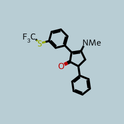 CNC1=C(c2cccc(SC(F)(F)F)c2)C(=O)C(c2ccccc2)C1